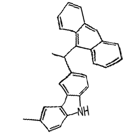 Cc1ccc2[nH]c3ccc(C(C)c4c5ccccc5cc5ccccc45)cc3c2c1